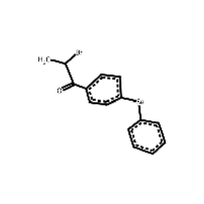 CC(Br)C(=O)c1ccc([Se]c2ccccc2)cc1